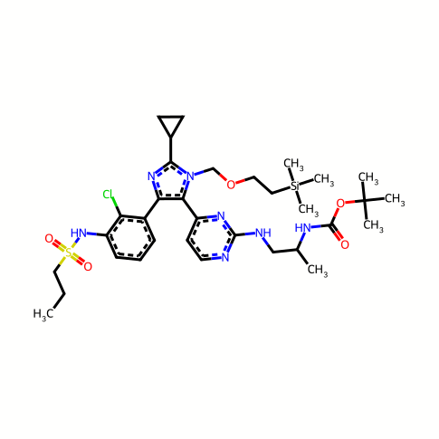 CCCS(=O)(=O)Nc1cccc(-c2nc(C3CC3)n(COCC[Si](C)(C)C)c2-c2ccnc(NCC(C)NC(=O)OC(C)(C)C)n2)c1Cl